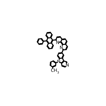 Cc1cccc(-n2c3ccncc3c3cc(-c4ccc5ccc6ccc(-c7c8ccccc8c(-c8ccccc8)c8ccccc78)nc6c5n4)ccc32)c1